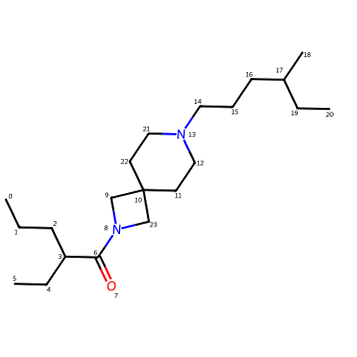 CCCC(CC)C(=O)N1CC2(CCN(CCCC(C)CC)CC2)C1